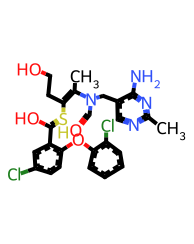 C/C(=C(CCO)/[SH]=C(\O)c1cc(Cl)ccc1Oc1ccccc1Cl)N(C=O)Cc1cnc(C)nc1N